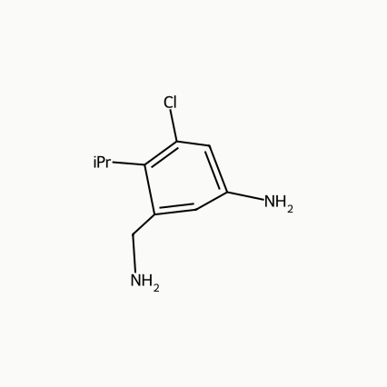 CC(C)c1c(Cl)cc(N)cc1CN